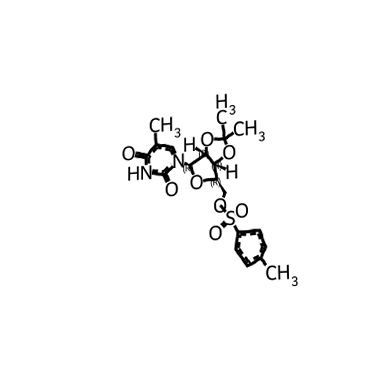 Cc1ccc(S(=O)(=O)OC[C@H]2O[C@@H](n3cc(C)c(=O)[nH]c3=O)[C@@H]3OC(C)(C)O[C@@H]32)cc1